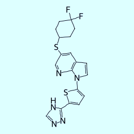 FC1(F)CCC(Sc2cnc3c(ccn3-c3ccc(-c4nnc[nH]4)s3)c2)CC1